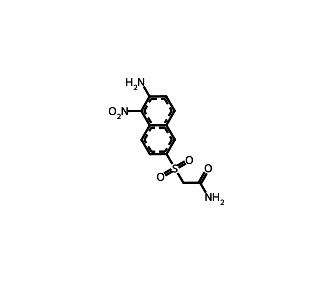 NC(=O)CS(=O)(=O)c1ccc2c([N+](=O)[O-])c(N)ccc2c1